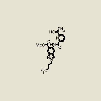 C=C(O)c1cccc(C(=O)Nc2cc3cn(CCCC(F)(F)F)nc3cc2C(=O)OC)n1